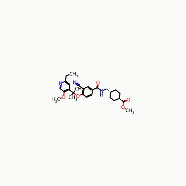 CCc1cc(C(C)(C)Oc2ccc(C(=O)NC[C@H]3CC[C@H](C(=O)OC)CC3)cc2C#N)c(OC)cn1